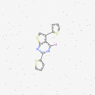 Ic1nc(-c2cccs2)nc2scc(-c3cccs3)c12